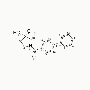 CC1(C)C[CH]N(C(=O)c2ccc(-c3ccccc3)cc2)C1